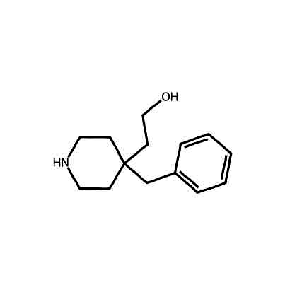 OCCC1(Cc2ccccc2)CCNCC1